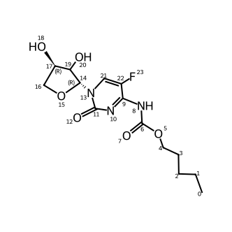 CCCCCOC(=O)Nc1nc(=O)n([C@@H]2OC[C@@H](O)C2O)cc1F